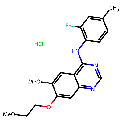 COCCOc1cc2ncnc(Nc3ccc(C)cc3F)c2cc1OC.Cl